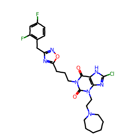 O=c1c2[nH]c(Cl)nc2n(CCN2CCCCCC2)c(=O)n1CCCc1nc(Cc2ccc(F)cc2F)no1